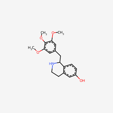 COc1cc(CC2NCCc3cc(O)ccc32)cc(OC)c1OC